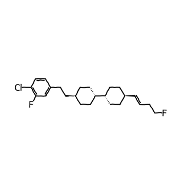 FCCC=C[C@H]1CC[C@H]([C@H]2CC[C@H](CCc3ccc(Cl)c(F)c3)CC2)CC1